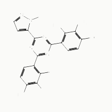 Cc1ccc(-c2nc(-c3ccc(O)c(C)c3C)nc(-c3ccnn3C)n2)c(C)c1C